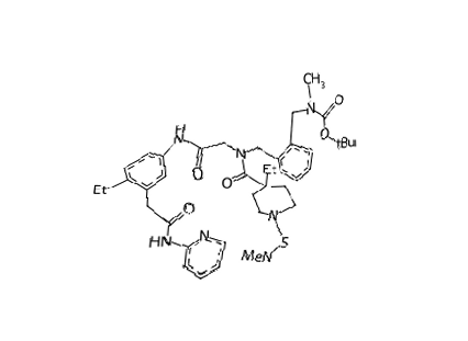 CCc1ccc(NC(=O)CN(Cc2ccccc2CN(C)C(=O)OC(C)(C)C)C(=O)C2(CC)CCN(SNC)CC2)cc1CC(=O)Nc1ccccn1